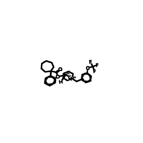 O=C(O[C@H]1C[N+]2(Cc3cccc(OC(F)(F)F)c3)CCC1CC2)C1(c2ccccc2)CCCCCC1